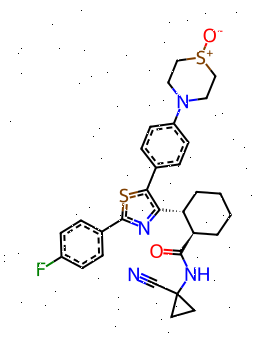 N#CC1(NC(=O)[C@@H]2CCCC[C@H]2c2nc(-c3ccc(F)cc3)sc2-c2ccc(N3CC[S+]([O-])CC3)cc2)CC1